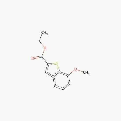 CCOC(=O)c1cc2cccc(OC)c2s1